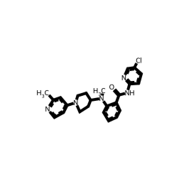 Cc1cc(N2CCC(N(C)c3ccccc3C(=O)Nc3ccc(Cl)cn3)CC2)ccn1